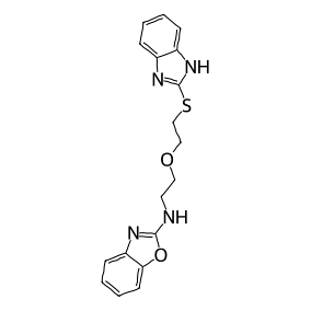 c1ccc2[nH]c(SCCOCCNc3nc4ccccc4o3)nc2c1